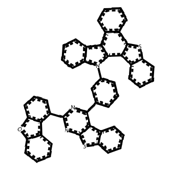 c1cc(-c2nc(-c3cccc4oc5ccccc5c34)nc3sc4ccccc4c23)cc(-n2c3ccccc3c3c4ccccc4c4sc5ccccc5c4c32)c1